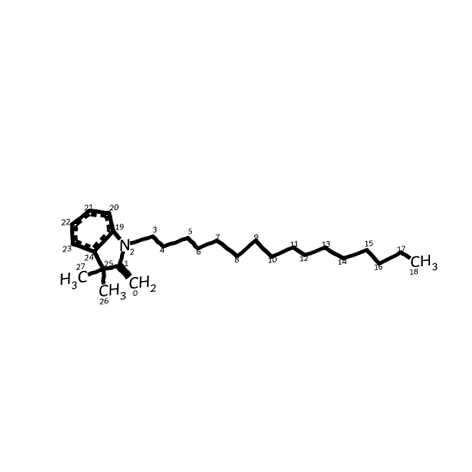 C=C1N(CCCCCCCCCCCCCCCC)c2ccccc2C1(C)C